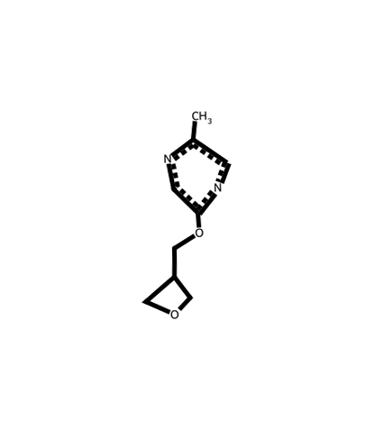 Cc1cnc(OCC2COC2)cn1